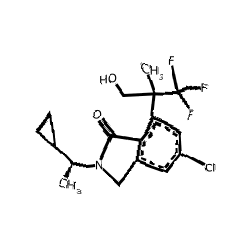 C[C@@H](C1CC1)N1Cc2cc(Cl)cc(C(C)(CO)C(F)(F)F)c2C1=O